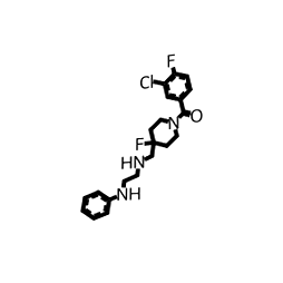 O=C(c1ccc(F)c(Cl)c1)N1CCC(F)(CNCCNc2ccccc2)CC1